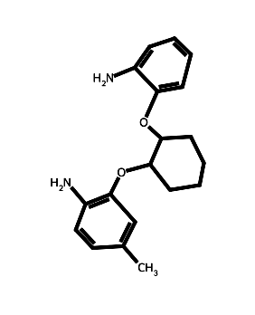 Cc1ccc(N)c(OC2CCCCC2Oc2ccccc2N)c1